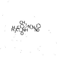 Cc1cc(CCN2CCN(c3noc4ccccc34)CC2)c2c(c1)C(C)(C)CC(=O)N2